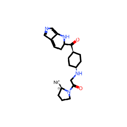 N#C[C@@H]1CCCN1C(=O)CN[C@H]1CC[C@H](C(=O)C2CC=C3C=NC=C3N2)CC1